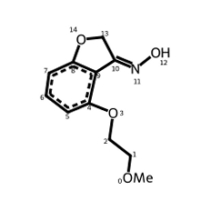 COCCOc1cccc2c1C(=NO)CO2